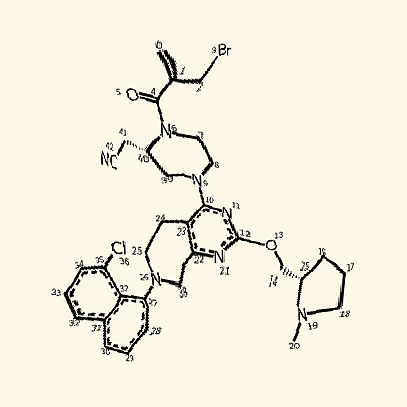 C=C(CBr)C(=O)N1CCN(c2nc(OC[C@@H]3CCCN3C)nc3c2CCN(c2cccc4cccc(Cl)c24)C3)C[C@@H]1CC#N